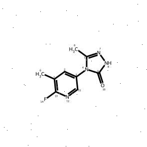 Cc1cc(-n2c(C)n[nH]c2=O)cnc1F